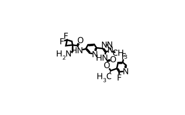 C[C@@H](OC(=O)Nc1c(-c2ccc(NC(=O)C3(CN)CC(F)(F)C3)cn2)nnn1C)c1cc(F)cnc1F